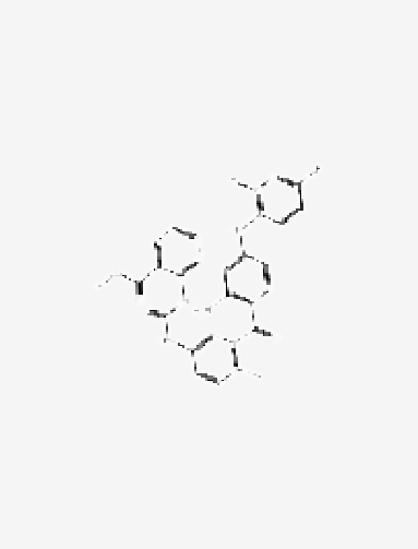 C=C(Nc1ccc(C)c(C(=O)c2ccc(Nc3ccc(F)cc3F)cc2N)c1)Nc1ccccc1C(=O)OC